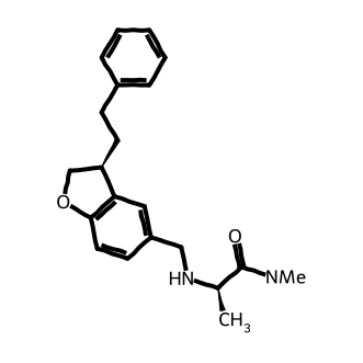 CNC(=O)[C@@H](C)NCc1ccc2c(c1)[C@H](CCc1ccccc1)CO2